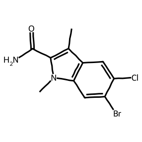 Cc1c(C(N)=O)n(C)c2cc(Br)c(Cl)cc12